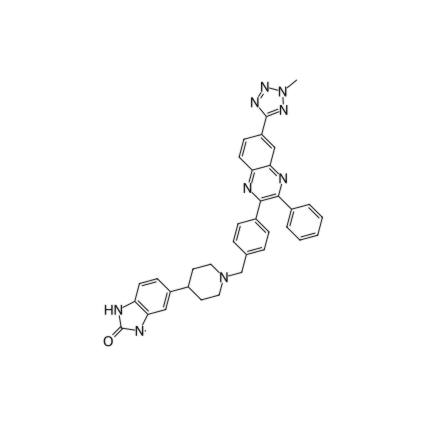 Cn1nnc(-c2ccc3nc(-c4ccc(CN5CCC(c6ccc7c(c6)[N]C(=O)N7)CC5)cc4)c(-c4ccccc4)nc3c2)n1